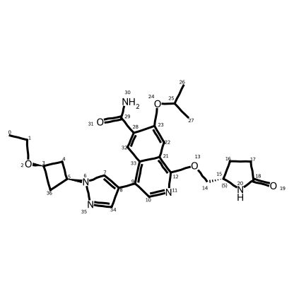 CCO[C@H]1C[C@@H](n2cc(-c3cnc(OC[C@@H]4CCC(=O)N4)c4cc(OC(C)C)c(C(N)=O)cc34)cn2)C1